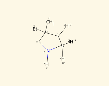 [2H]C1C(C)(CC)CN([2H])C1([2H])[2H]